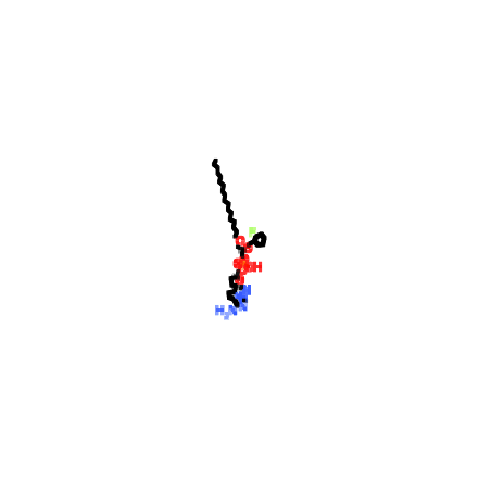 CCCCCCCCCCCCCCCCCCOC[C@H](COP(=O)(O)OC[C@@H]1CC[C@](C#N)(c2ccc3c(N)ncnn23)O1)OCc1ccccc1F